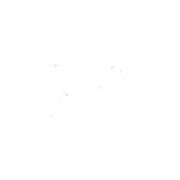 CC(C)C(=O)Nc1cncc(-c2ccc3[nH]nc(-c4cc5cnccc5[nH]4)c3c2)c1